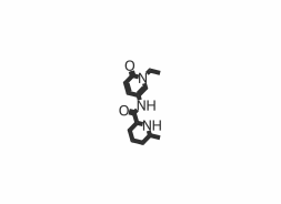 CCn1cc(NC(=O)C2CCCC(C)N2)ccc1=O